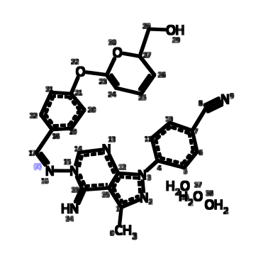 Cc1nn(-c2ccc(C#N)cc2)c2ncn(/N=C\c3ccc(OC4=CC=CC(CO)O4)cc3)c(=N)c12.O.O.O